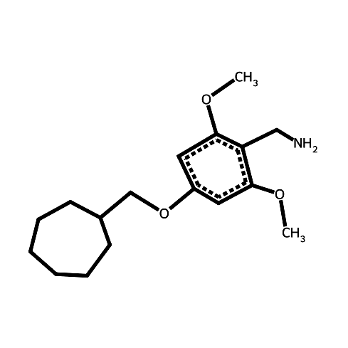 COc1cc(OCC2CCCCCC2)cc(OC)c1CN